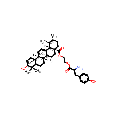 C[C@H]1[C@H](C)CC[C@]2(C(=O)OCCOC(=O)C(N)Cc3ccc(O)cc3)CC[C@]3(C)C(=CC[C@@H]4[C@@]5(C)CC[C@H](O)C(C)(C)C5CC[C@]43C)[C@H]12